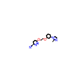 Cc1nccn1-c1cccc(OCCOc2ccc(C#N)nn2)c1